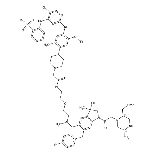 COC[C@H]1CN[C@H](C)CN1CC(=O)N1CC(C)(C)c2nc(CN(C)CCOCCNC(=O)CN3CCC(c4cc(OC(C)C)c(Nc5ncc(Cl)c(Nc6ccccc6S(=O)(=O)C(C)C)n5)cc4C)CC3)c(Cc3ccc(F)cc3)cc21